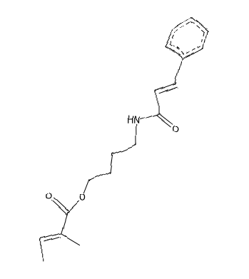 C/C=C(\C)C(=O)OCCCCNC(=O)C=Cc1ccccc1